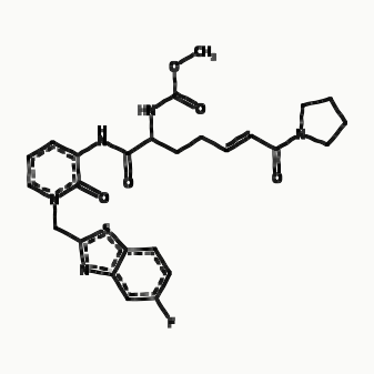 COC(=O)NC(CCC=CC(=O)N1CCCC1)C(=O)Nc1cccn(Cc2nc3cc(F)ccc3s2)c1=O